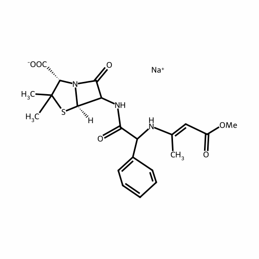 COC(=O)/C=C(\C)NC(C(=O)NC1C(=O)N2[C@@H]1SC(C)(C)[C@@H]2C(=O)[O-])c1ccccc1.[Na+]